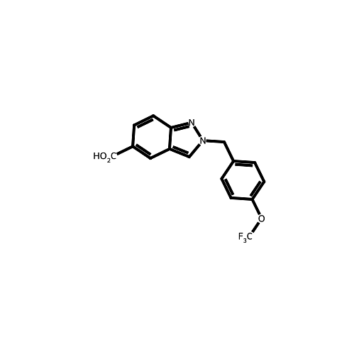 O=C(O)c1ccc2nn(Cc3ccc(OC(F)(F)F)cc3)cc2c1